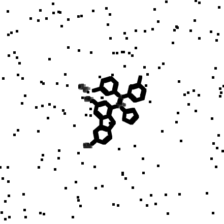 Cc1cccc([Si](c2cccc(C)c2)=[Zr+2]([C]2=CC=CC2)[c]2cc(C(C)(C)C)cc3c2Cc2ccc(C(C)(C)C)cc2-3)c1.[Cl-].[Cl-]